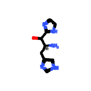 N[C@@H](Cc1c[nH]cn1)C(=O)c1ncc[nH]1